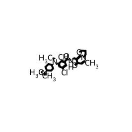 CCN(c1cc(Cl)cc(C(=O)NCc2c3n(c(C)cc2=O)CCCO3)c1C)[C@H]1CC[C@H](N(C)C)CC1